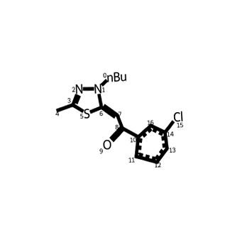 CCCCN1N=C(C)S/C1=C\C(=O)c1cccc(Cl)c1